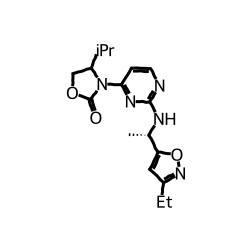 CCc1cc([C@H](C)Nc2nccc(N3C(=O)OCC3C(C)C)n2)on1